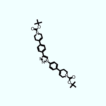 CC(C)(C)OC(=O)N1CC=C(c2ccc(-c3cn(-c4ccc(C5=CCN(C(=O)OC(C)(C)C)CC5)cc4)nn3)cc2)CC1